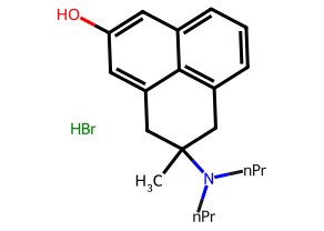 Br.CCCN(CCC)C1(C)Cc2cccc3cc(O)cc(c23)C1